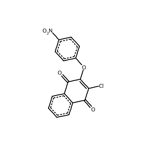 O=C1C(Cl)=C(Oc2ccc([N+](=O)[O-])cc2)C(=O)c2ccccc21